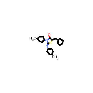 Cc1ccc(/N=C2\S/C(=C\c3ccccc3)C(=O)N2c2ccc(C)cc2)cc1